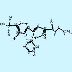 CCOC(=O)c1cc(-c2ccc(C(F)(F)F)c(F)c2)n(-c2cccnc2)n1